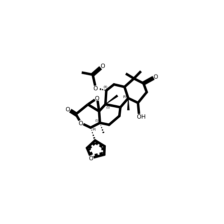 CC(=O)O[C@@H]1CC2C(C)(C)C(=O)CC(O)[C@]2(C)C2CC[C@@]3(C)[C@H](c4ccoc4)OC(=O)C4OC43[C@@]21C